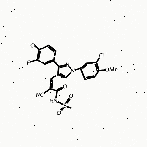 COc1ccc(-n2cc(C=C(C#N)C(=O)NS(C)(=O)=O)c(-c3ccc(Cl)c(F)c3)n2)cc1Cl